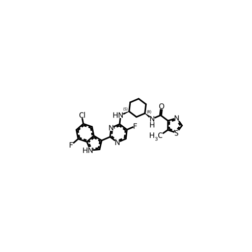 Cc1scnc1C(=O)N[C@@H]1CCC[C@H](Nc2nc(-c3c[nH]c4c(F)cc(Cl)cc34)ncc2F)C1